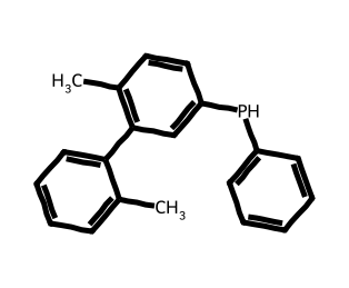 Cc1ccccc1-c1cc(Pc2ccccc2)ccc1C